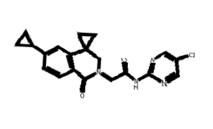 O=C(CN1CC2(CC2)c2cc(C3CC3)ccc2C1=O)Nc1ncc(Cl)cn1